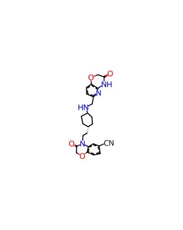 N#Cc1ccc2c(c1)N(CC[C@H]1CC[C@H](NCc3ccc4c(n3)NC(=O)CO4)CC1)C(=O)CO2